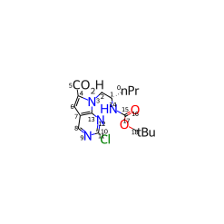 CCC[C@@H](Cn1c(C(=O)O)cc2cnc(Cl)nc21)NC(=O)OC(C)(C)C